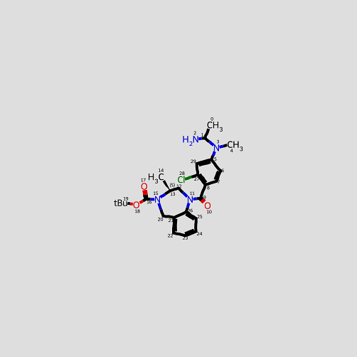 CC(N)N(C)c1ccc(C(=O)N2C[C@H](C)N(C(=O)OC(C)(C)C)Cc3ccccc32)c(Cl)c1